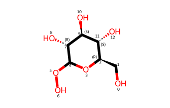 OC[C@H]1OC(OO)[C@H](O)[C@@H](O)[C@@H]1O